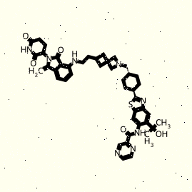 C=C1c2cccc(NCCC3CC4(C3)CN(C[C@H]3CC[C@H](c5nc6cc(C(C)(C)O)c(NC(=O)c7cnccn7)cc6s5)CC3)C4)c2C(=O)N1C1CCC(=O)NC1=O